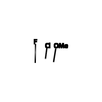 CCl.CF.COC